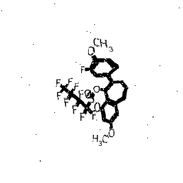 COc1ccc2c(c1)CCCC(c1ccc(OC)c(F)c1)=C2OS(=O)(=O)C(F)(F)C(F)(F)C(F)(F)C(F)(F)F